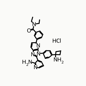 CCN(CC)C(=O)c1cccc(-c2ccc3nc(-c4cccnc4N)n(-c4ccc(C5(N)CCC5)cc4)c3n2)c1.Cl